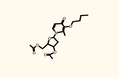 CCCCOc1c(C)n(C2CC(OC(C)=O)C(COC(C)=O)O2)ccc1=O